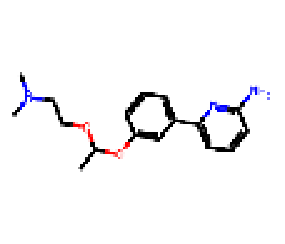 CC(OCCN(C)C)Oc1cccc(-c2cccc(N)n2)c1